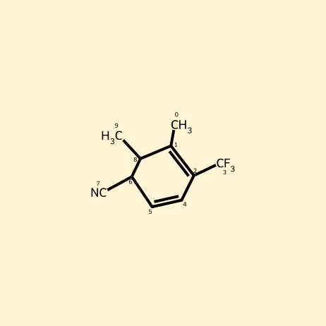 CC1=C(C(F)(F)F)C=CC(C#N)C1C